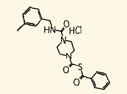 Cc1cccc(CNC(=O)N2CCN(C(=O)SC(=O)c3ccccc3)CC2)c1.Cl